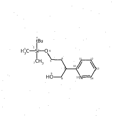 CC(C)(C)[Si](C)(C)OCCC(CO)c1ccccn1